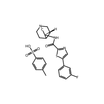 Cc1ccc(S(=O)(=O)O)cc1.O=C(N[C@H]1CN2CCC1CC2)c1ncc(-c2cccc(F)c2)s1